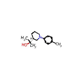 Cc1ccc(N2CCC[C@@H](C(C)(C)O)C2)cc1